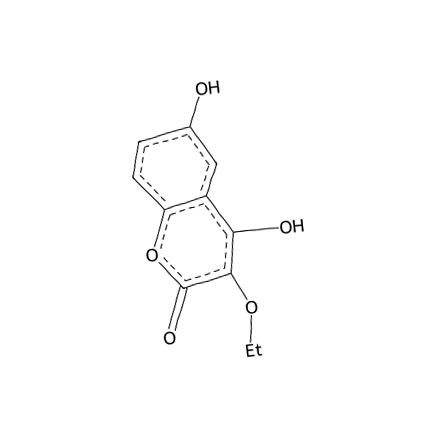 CCOc1c(O)c2cc(O)ccc2oc1=O